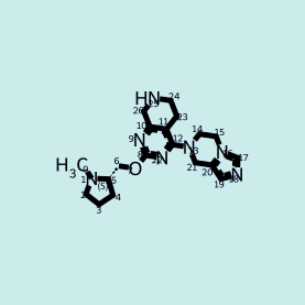 CN1CCC[C@H]1COc1nc2c(c(N3CCn4cncc4C3)n1)CCNC2